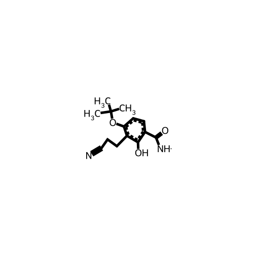 CC(C)(C)Oc1ccc(C([NH])=O)c(O)c1CCC#N